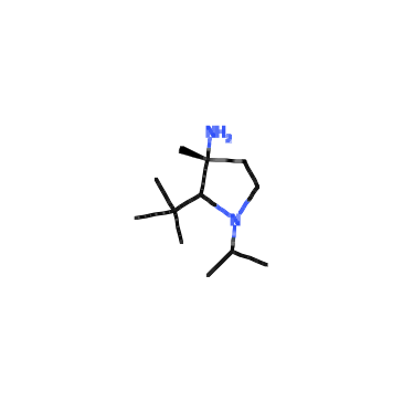 CC(C)N1CC[C@@](C)(N)C1C(C)(C)C